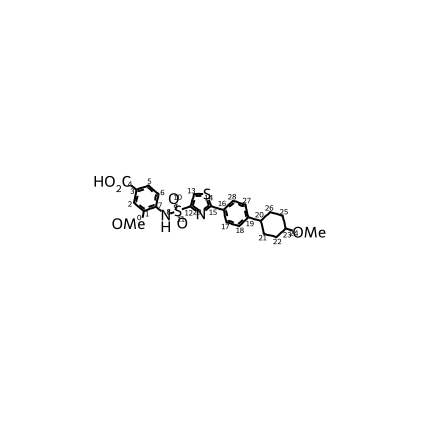 COc1cc(C(=O)O)ccc1NS(=O)(=O)c1csc(-c2ccc(C3CCC(OC)CC3)cc2)n1